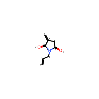 C=CCN1C(=O)CC(=C)C1=O